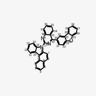 c1ccc2c(c1)ccc1c2c2ccccc2n1-c1nc(-c2ccc3oc4ccccc4c3c2)c2ccccc2n1